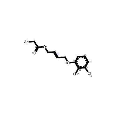 CC(=O)CC(=O)OC/C=C/COc1cccc(Cl)c1Cl